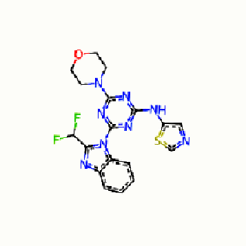 FC(F)c1nc2ccccc2n1-c1nc(Nc2cncs2)nc(N2CCOCC2)n1